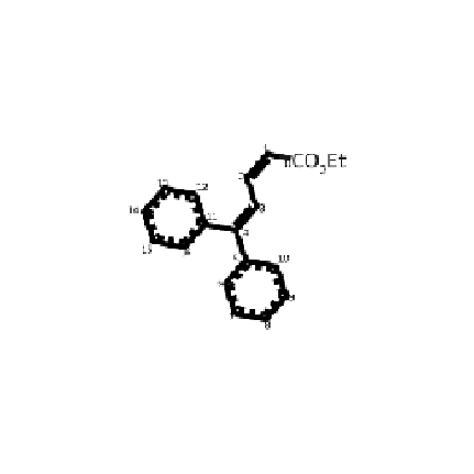 CCOC(=O)/C=C\C=C(c1ccccc1)c1ccccc1